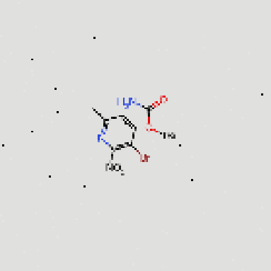 CC(C)(C)OC(N)=O.Cc1ccc(Br)c([N+](=O)[O-])n1